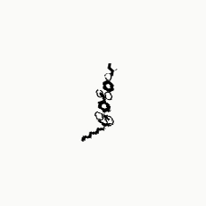 CCCCCCC[C@H]1CO[C@H](c2ccc(C(=O)Oc3ccc(OC[C@@H](C)CC)cc3)cc2)OC1